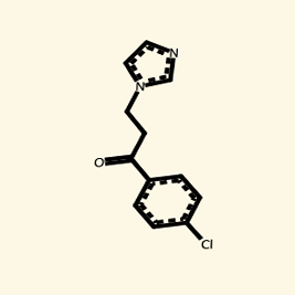 O=C(CCn1ccnc1)c1ccc(Cl)cc1